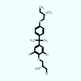 CC[C@H](C)COc1ccc(C(C)(C)c2cc(Cl)c(OC[C@@H](O)CCl)c(Cl)c2)cc1